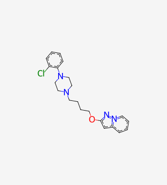 Clc1ccccc1N1CCN(CCCCOc2cc3ccccn3n2)CC1